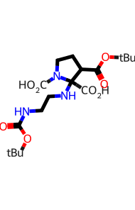 CC(C)(C)OC(=O)NCCNC1(C(=O)O)C(C(=O)OC(C)(C)C)CCN1C(=O)O